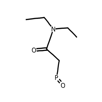 CCN(CC)C(=O)CP=O